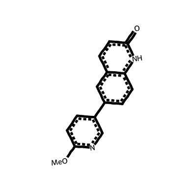 COc1ccc(-c2ccc3[nH]c(=O)ccc3c2)cn1